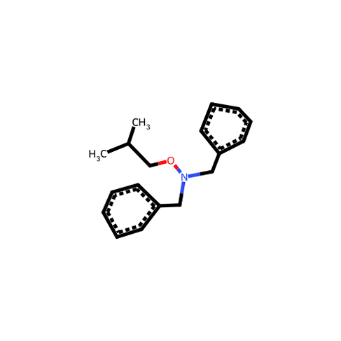 C[C](C)CON(Cc1ccccc1)Cc1ccccc1